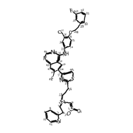 O=S(=O)=CN(CCc1ccccn1)CCc1nc(-c2cc3c(Nc4ccc(OCc5cccc(F)c5)c(Cl)c4)ncnc3cc2F)cs1